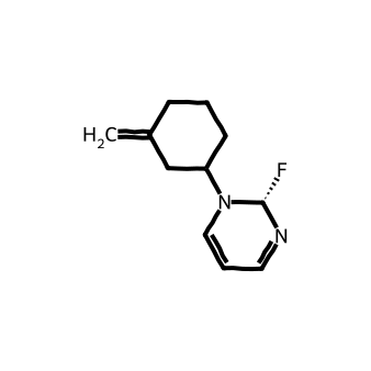 C=C1CCCC(N2C=CC=N[C@H]2F)C1